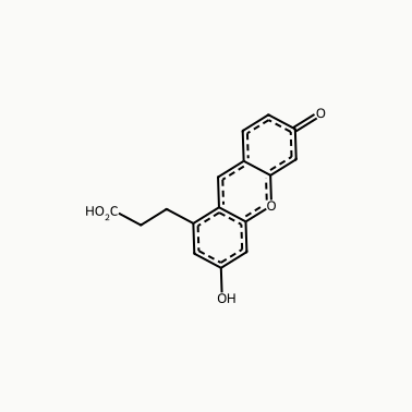 O=C(O)CCc1cc(O)cc2oc3cc(=O)ccc-3cc12